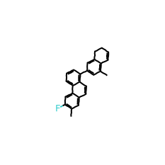 Cc1cc2ccc3c(-c4cc(C)c5c(c4)CCC=C5)cccc3c2cc1F